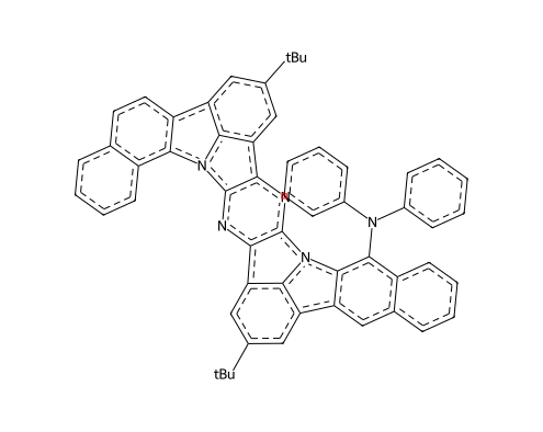 CC(C)(C)c1cc2c3cc4ccccc4c(N(c4ccccc4)c4ccccc4)c3n3c4nc5c6cc(C(C)(C)C)cc7c8ccc9ccccc9c8n(c5nc4c(c1)c23)c76